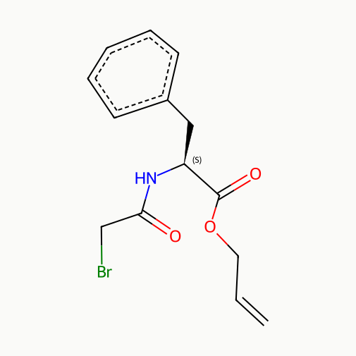 C=CCOC(=O)[C@H](Cc1ccccc1)NC(=O)CBr